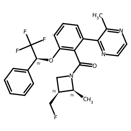 Cc1nccnc1-c1cc[c]c(O[C@@H](c2ccccc2)C(F)(F)F)c1C(=O)N1C[C@H](CF)[C@@H]1C